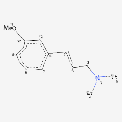 CCN(CC)CC=Cc1cc[c]c(OC)c1